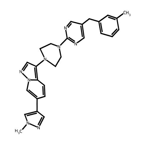 Cc1cccc(Cc2cnc(N3CCN(c4cnn5cc(-c6cnn(C)c6)ccc45)CC3)nc2)c1